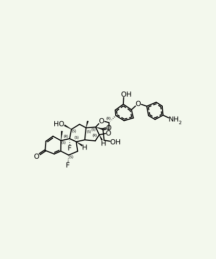 C[C@]12C=CC(=O)C=C1[C@@H](F)C[C@H]1C3C[C@H]4O[C@@H](c5ccc(Oc6ccc(N)cc6)c(O)c5)O[C@@]4(C(=O)CO)[C@@]3(C)C[C@H](O)[C@@]12F